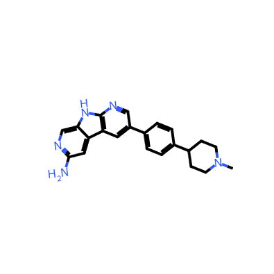 CN1CCC(c2ccc(-c3cnc4[nH]c5cnc(N)cc5c4c3)cc2)CC1